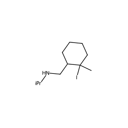 CC(C)NCC1CCCCC1(C)I